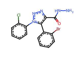 NNC(=O)c1nnn(-c2ccccc2Cl)c1-c1ccccc1Br